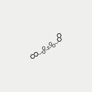 O=C(CSCC(=O)OCCc1ccc2ccccc2c1)OCCc1ccc2ccccc2c1